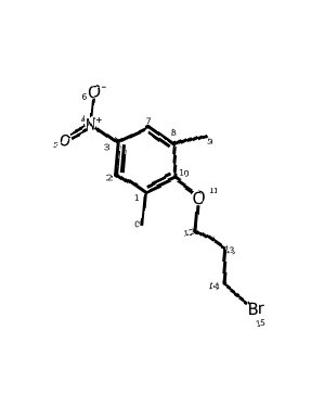 Cc1cc([N+](=O)[O-])cc(C)c1OCCCBr